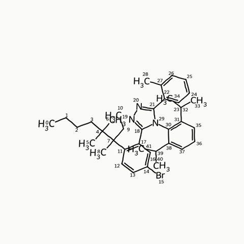 CCCCC(C)(C)C(C)(CC)c1ccc(Br)cc1-c1nnc(-c2ccccc2C)n1-c1c(C(C)C)cccc1C(C)C